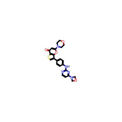 O=c1cc(N2CCOCC2)oc2c(-c3ccc(Nc4nccc(N5COC5)n4)cc3)csc12